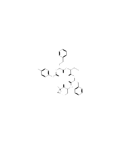 Cc1ccc(NC(=S)N[C@@H](CCc2ccccc2)C(=O)NC(CC(C)C)C(=O)N[C@@H](Cc2ccccc2)C(=O)NC(CC(C)C)C(=O)C2(C)CO2)cc1